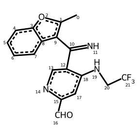 Cc1oc2ccccc2c1C(=N)c1cnc(C=O)cc1NCC(F)(F)F